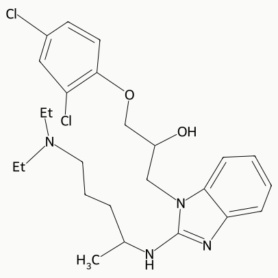 CCN(CC)CCCC(C)Nc1nc2ccccc2n1CC(O)COc1ccc(Cl)cc1Cl